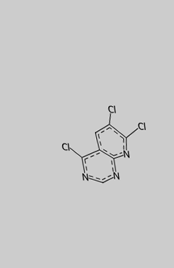 Clc1cc2c(Cl)ncnc2nc1Cl